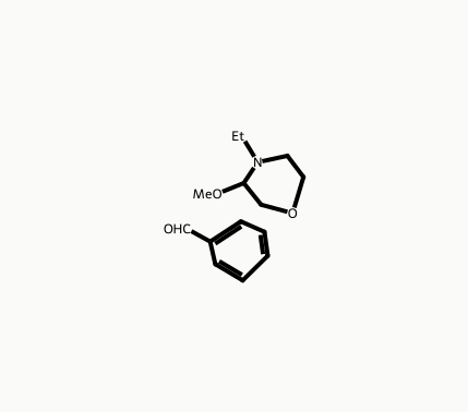 CCN1CCOCC1OC.O=Cc1ccccc1